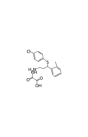 Cc1ccccc1C(CCN)Sc1ccc(Cl)cc1.O=C(O)C(=O)O